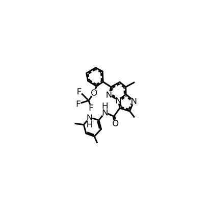 CC1=CC(C)NC(NC(=O)c2c(C)nc3c(C)cc(-c4ccccc4OC(F)(F)F)nn23)=C1